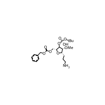 CO[C@H]1C(OP(=O)(O)OC(C)(C)C)[C@@H](COC(=O)OCc2ccccc2)O[C@H]1CCCN